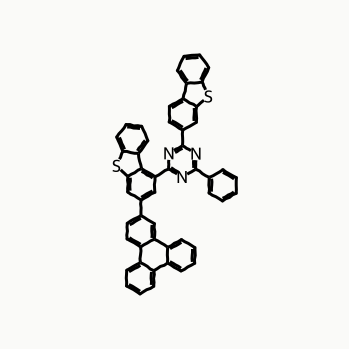 c1ccc(-c2nc(-c3ccc4c(c3)sc3ccccc34)nc(-c3cc(-c4ccc5c6ccccc6c6ccccc6c5c4)cc4sc5ccccc5c34)n2)cc1